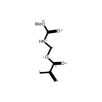 C=C(C)C(=O)OCNC(=O)OC